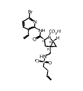 C=CCCS(=O)(=O)NC[C@@]12C[C@@H](C(=O)Nc3nc(Br)ccc3C=C)N(C(=O)O)[C@@H]1C2